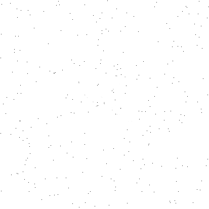 CCOC(=O)c1cc(-c2ccc(S(C)(=O)=O)cc2)c(-c2ccc(NCC=O)cc2)s1